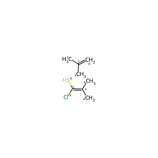 C=C(C)C.CC(C)=C(S)Cl